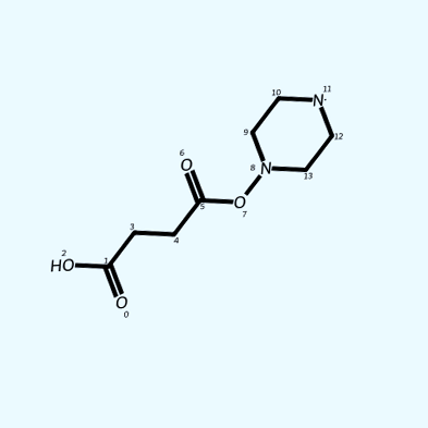 O=C(O)CCC(=O)ON1CC[N]CC1